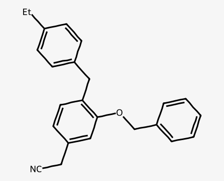 CCc1ccc(Cc2ccc(CC#N)cc2OCc2ccccc2)cc1